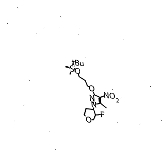 Cc1c([N+](=O)[O-])c(OCCCO[Si](C)(C)C(C)(C)C)nn1C1CCOCC1F